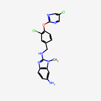 Cn1c(NCc2ccc(Oc3ncc(Cl)cn3)c(Cl)c2)nc2ccc(N)cc21